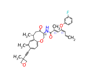 C=C/C=C(\C=C(/C)C(=O)N[C@H]1COC2=CC=C(C#CC3(C)COC3)C(=C)C=C2C(C)CC1=O)Oc1cccc(F)c1